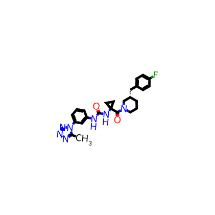 Cc1nnnn1-c1cccc(NC(=O)NC2(C(=O)N3CCC[C@@H](Cc4ccc(F)cc4)C3)CC2)c1